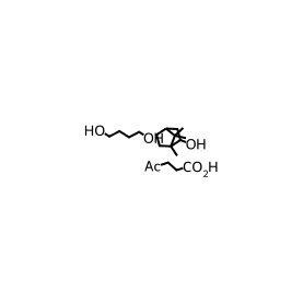 CC(=O)CCC(=O)O.CC1(C)C2CCC1(C)C(O)C2.OCCCCO